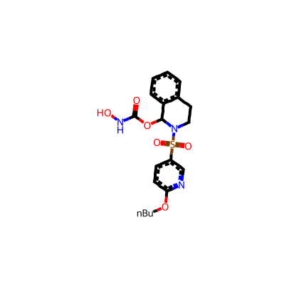 CCCCOc1ccc(S(=O)(=O)N2CCc3ccccc3C2OC(=O)NO)cn1